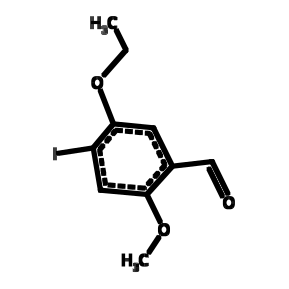 CCOc1cc(C=O)c(OC)cc1I